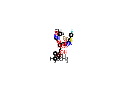 COc1ccccc1-c1nccc(COc2ccc(CC[C@@H](O)CO[Si](c3ccccc3)(c3ccccc3)C(C)(C)C)cc2CC(Oc2ncnc3sc(-c4ccc(F)cc4)c(Br)c23)C(=O)O)n1